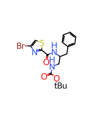 CC(C)(C)OC(=O)NCC(Cc1ccccc1)NC(=O)c1nc(Br)cs1